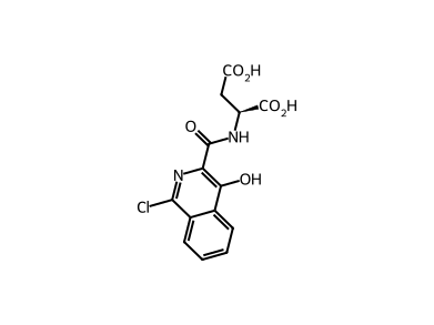 O=C(O)C[C@H](NC(=O)c1nc(Cl)c2ccccc2c1O)C(=O)O